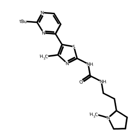 Cc1nc(NC(=O)NCCC2CCCN2C)sc1-c1ccnc(C(C)(C)C)n1